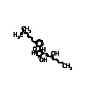 CCCCC[C@H](O)/C=C/[C@@H]1[C@H]2c3cccc(CCCCN(C)C)c3O[C@H]2C[C@H]1O